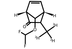 [2H]C([2H])([2H])C1C(=O)[C@@H]2C=C[C@H]1C2OC(F)F